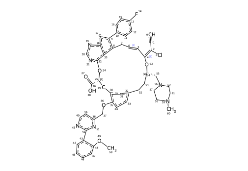 C#C/C(Cl)=C1\C=C/Cc2c(-c3ccc(F)cc3)sc3ncnc(c23)O[C@@H](C(=O)O)Cc2cc(ccc2OCc2ccnc(-c3ccccc3OC)n2)CC[C@@H](CN2CCN(C)CC2)O1